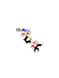 C=C1OB(c2ccc(S(=O)(=O)NC(C)(C)C)s2)OC1(C)C